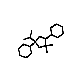 CC(C)C1(C2CCCCC2)CC(C2CCCCC2)C(C)(C)C1